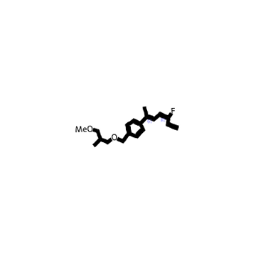 C=C/C(F)=C\C=C(/C)c1ccc(COCC(C)COC)cc1